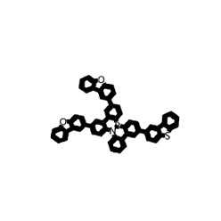 c1ccc2c(c1)-c1cc(-c3ccc4sc5ccccc5c4c3)ccc1B1c3ccc(-c4ccc5oc6ccccc6c5c4)cc3-c3cc(-c4ccc5oc6ccccc6c5c4)ccc3N12